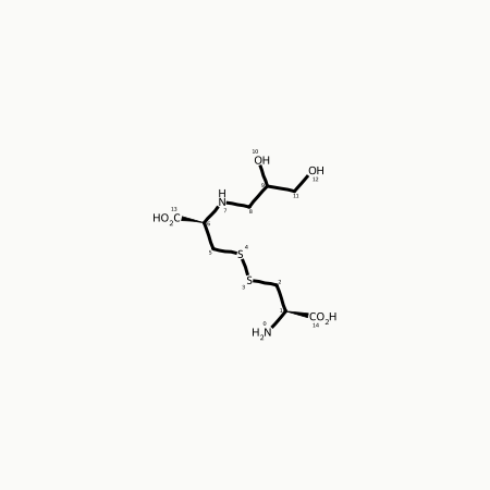 N[C@@H](CSSC[C@H](NCC(O)CO)C(=O)O)C(=O)O